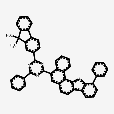 CC1(C)c2ccccc2-c2ccc(-c3nc(-c4ccccc4)nc(-c4cc5ccc6c7cccc(-c8ccccc8)c7sc6c5c5ccccc45)n3)cc21